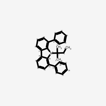 CCC(C)(C)n1c2c(-c3ccccc3)cccc2c2cccc(-c3ccccc3)c21